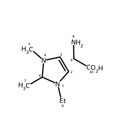 CCN1C=CN(C)C1C.NCC(=O)O